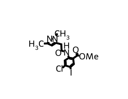 COC(=O)c1cc(I)c(Cl)cc1NC(=O)Cc1cc(C)nn1C